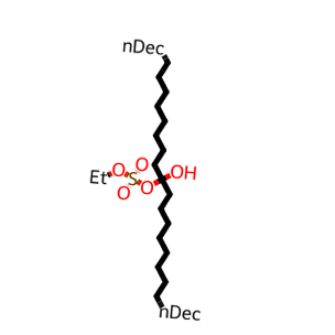 CCCCCCCCCCCCCCCCCCC(O)(CCCCCCCCCCCCCCCCCC)OS(=O)(=O)OCC